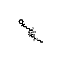 CCCCOC(=O)NCC(C)(C)[Si](C)(C)OC(CCCCC(C)(C)C1CCCCC1)C(=O)O